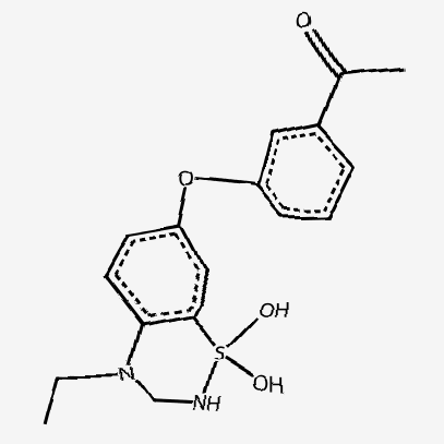 CCN1CNS(O)(O)c2cc(Oc3cccc(C(C)=O)c3)ccc21